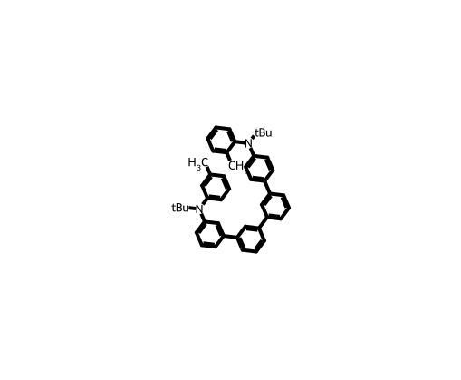 Cc1cccc(N(c2cccc(-c3cccc(-c4cccc(-c5ccc(N(c6ccccc6C)C(C)(C)C)cc5)c4)c3)c2)C(C)(C)C)c1